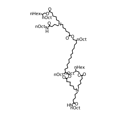 CCCCCCCCNC(=O)CCCCN(CCCCCC(=O)OCC(CCCCCC)CCCCCCCC)CCCCCC(=O)OCC(CCCCCCCC)CCCCCCCCCCCCC(CCCCCCCC)COC(=O)CCCCCN(CCCCCC(=O)OCC(CCCCCC)CCCCCCCC)CCCC(=O)NCCCCCCCC